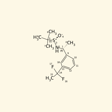 C[C@@H](N[S@+]([O-])C(C)(C)C)c1cccc(C(C)(F)F)c1